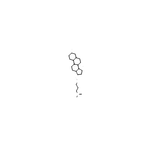 CN(C)CCCON[C@H]1CC[C@]2(O)[C@@H]3CC[C@@H]4C[C@@H](O)CC[C@]4(C)[C@H]3CC[C@]12C